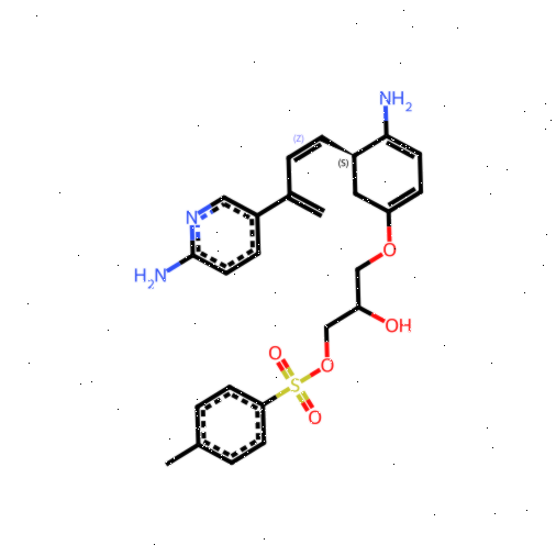 C=C(/C=C\[C@@H]1CC(OCC(O)COS(=O)(=O)c2ccc(C)cc2)=CC=C1N)c1ccc(N)nc1